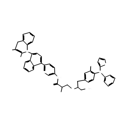 COCC(Cc1ccc(N(c2ccccc2)c2cccs2)c(C)c1)OCC(C)C(=O)Nc1ccc(-c2ccc(N3C(C)=C(C)Cc4ccccc43)c3ccccc23)nc1